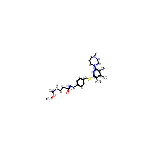 CCc1c(C#N)c(SCc2ccc(CNC(=O)CCNC(=O)OC(C)(C)C)cc2)nc(N2CCCN(C)CC2)c1C#N